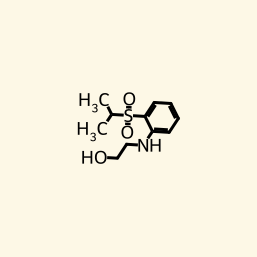 CC(C)S(=O)(=O)c1ccccc1NCCO